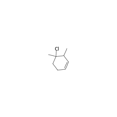 CC1C=CCCC1(C)Cl